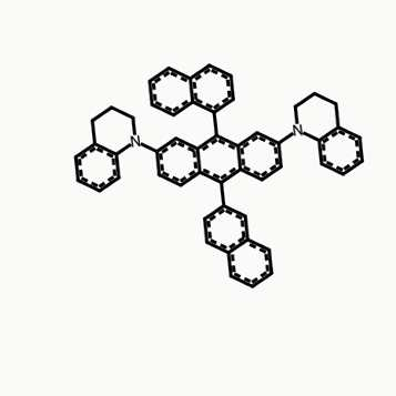 c1ccc2c(c1)CCCN2c1ccc2c(-c3ccc4ccccc4c3)c3ccc(N4CCCc5ccccc54)cc3c(-c3cccc4ccccc34)c2c1